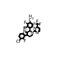 Cc1ccc(C2c3[nH]c4ccc(Cl)c(F)c4c3CCN2c2nccc(C(F)(F)F)n2)c(F)c1F